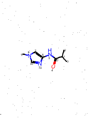 CC(C)C(=O)Nc1cn(C)cn1